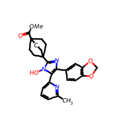 COC(=O)C12CCC(c3nc(-c4ccc5c(c4)OCO5)c(-c4cccc(C)n4)n3O)(CC1)CC2